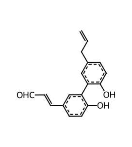 C=CCc1ccc(O)c(-c2cc(C=CC=O)ccc2O)c1